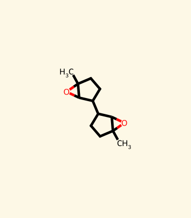 CC12CCC(C3CCC4(C)OC34)C1O2